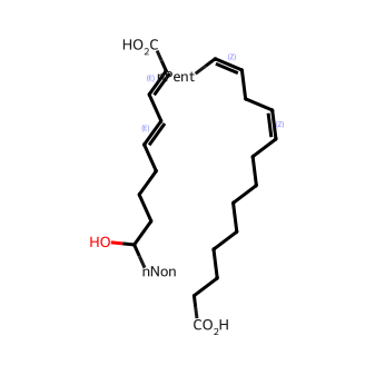 CCCCC/C=C\C/C=C\CCCCCCCC(=O)O.CCCCCCCCCC(O)CCC/C=C/C=C/C(=O)O